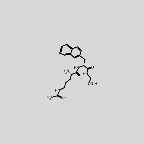 N=C(N)NCCC[C@H](N)C(=O)N[C@@H](Cc1ccc2ccccc2c1)C(=O)NCC(=O)O